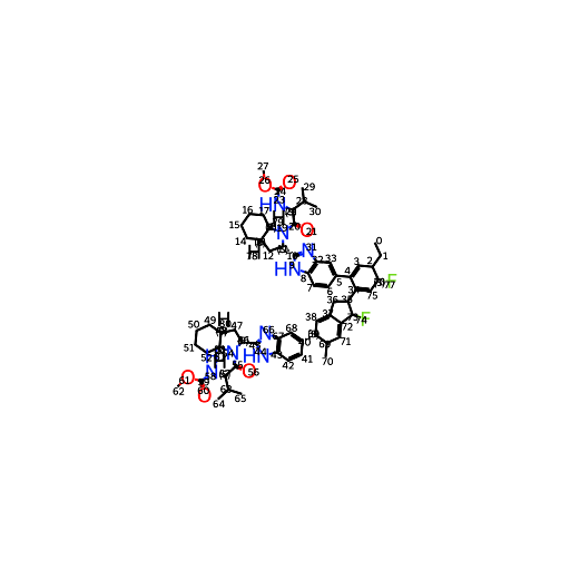 CCC1C=C(c2ccc3[nH]c([C@@H]4C[C@@H]5CCCC[C@@H]5N4C(=O)[C@@H](NC(=O)OC)C(C)C)nc3c2)C(C2CC3=C[C@@H](c4ccc5[nH]c([C@@H]6C[C@@H]7CCCC[C@@H]7N6C(=O)[C@@H](NC(=O)OC)C(C)C)nc5c4)C(C)C=C3C2F)=C[C@H]1F